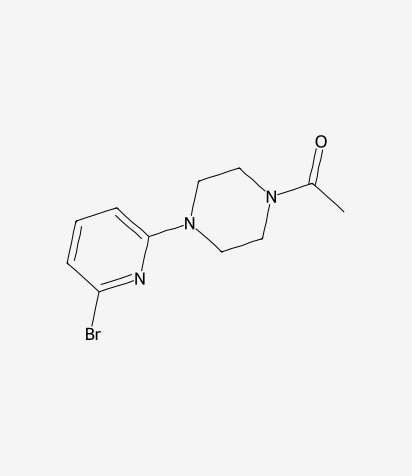 CC(=O)N1CCN(c2cccc(Br)n2)CC1